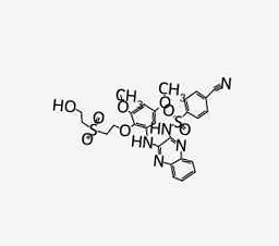 COc1cc(Nc2nc3ccccc3nc2NS(=O)(=O)c2ccc(C#N)cc2)c(OCCS(=O)(=O)CCO)c(OC)c1